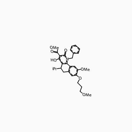 COCCCOc1cc2c(cc1OC)-c1c(c(O)c(C(=O)OC)c(=O)n1Cc1ccccc1)C(C(C)C)C2